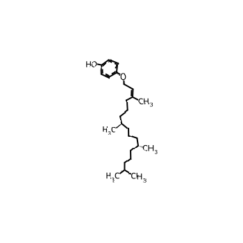 CC(=CCOc1ccc(O)cc1)CCC[C@H](C)CCC[C@H](C)CCCC(C)C